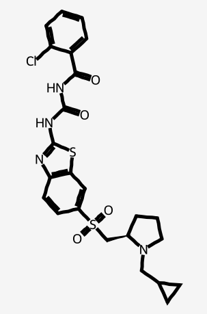 O=C(NC(=O)c1ccccc1Cl)Nc1nc2ccc(S(=O)(=O)C[C@H]3CCCN3CC3CC3)cc2s1